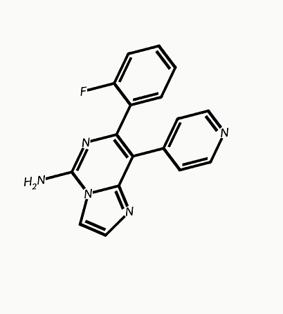 Nc1nc(-c2ccccc2F)c(-c2ccncc2)c2nccn12